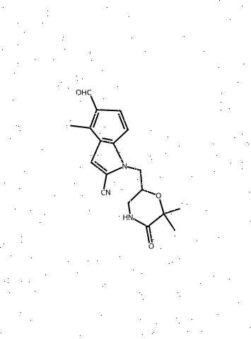 Cc1c(C=O)ccc2c1cc(C#N)n2CC1CNC(=O)C(C)(C)O1